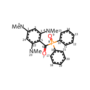 CNc1cc(NC)c(C(=O)P(=O)(c2ccccc2)c2ccccc2)c(NC)c1